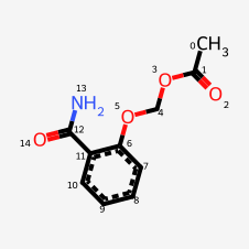 CC(=O)OCOc1ccccc1C(N)=O